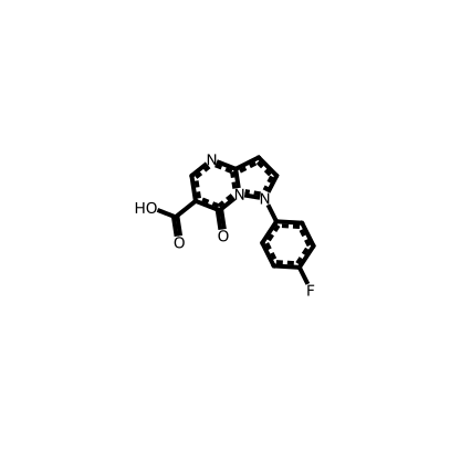 O=C(O)c1cnc2ccn(-c3ccc(F)cc3)n2c1=O